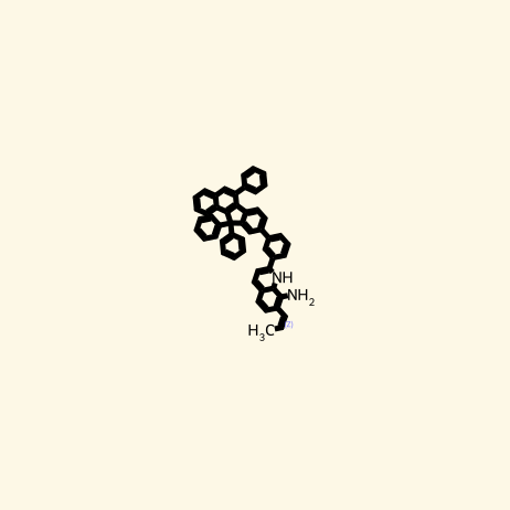 C/C=C\C1=C(N)C2NC(c3cccc(-c4ccc5c(c4)C(c4ccccc4)(c4ccccc4)c4c-5c(-c5ccccc5)cc5ccccc45)c3)=CC=C2C=C1